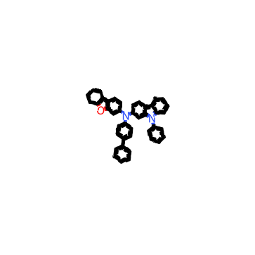 C1=Cc2c(oc3cc(N(c4ccc(-c5ccccc5)cc4)c4ccc5c6ccccc6n(-c6ccccc6)c5c4)ccc23)CC1